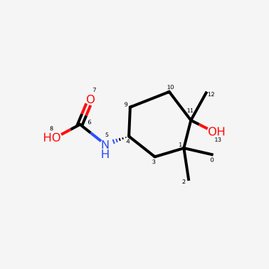 CC1(C)C[C@H](NC(=O)O)CCC1(C)O